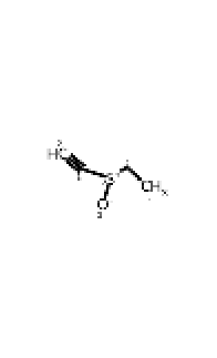 C#C[S+]([O-])CC